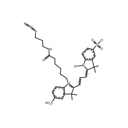 CCN1/C(=C\C=C\C2=[N+](CCCCCC(=O)NCCCN=[N+]=[N-])c3ccc(S(=O)(=O)O)cc3C2(C)C)C(C)(C)c2cc(S(=O)(=O)[O-])ccc21